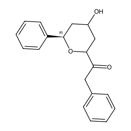 O=C(Cc1ccccc1)C1CC(O)C[C@H](c2ccccc2)O1